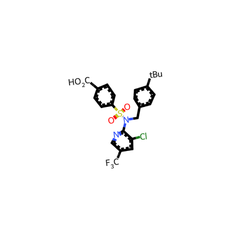 CC(C)(C)c1ccc(CN(c2ncc(C(F)(F)F)cc2Cl)S(=O)(=O)c2ccc(C(=O)O)cc2)cc1